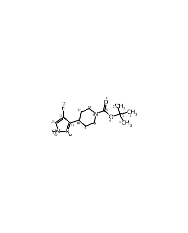 CC(C)(C)OC(=O)N1CCC(c2n[nH]cc2F)CC1